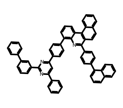 c1ccc(-c2cccc(-c3nc(-c4ccccc4)cc(-c4ccc(-c5cccc6c5nc(-c5ccc(-c7cccc8ccccc78)cc5)c5ccc7ccccc7c56)cc4)n3)c2)cc1